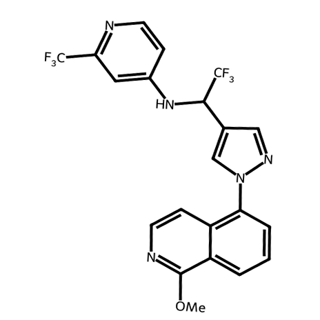 COc1nccc2c(-n3cc(C(Nc4ccnc(C(F)(F)F)c4)C(F)(F)F)cn3)cccc12